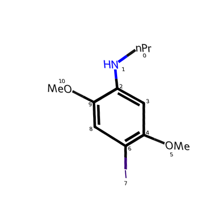 CCCNc1cc(OC)c(I)cc1OC